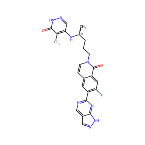 C[C@@H](CCCn1ccc2cc(-c3ncc4cn[nH]c4n3)c(F)cc2c1=O)Nc1cn[nH]c(=O)c1C(F)(F)F